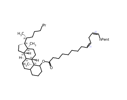 CCCCC/C=C\C/C=C\CCCCCCCC(=O)OC1CCCC2CC[C@@H]3[C@H](CC[C@]4(C)[C@@H]([C@H](C)CCCC(C)C)CC[C@@H]34)[C@]21C